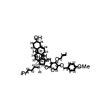 C=CCOC1C(OCc2ccc(OC)cc2)COC(O[C@H]2C[C@H]3[C@@H]4CC=C5C[C@@H](O)CC[C@]5(C)[C@H]4CC[C@]3(C)[C@H]2[C@H](C)CCCC(C)C)C1NC(C)=O